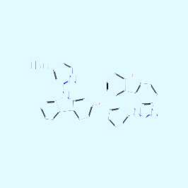 CC(C)(C)c1ccnc(-n2c3ccccc3c3ccc(Oc4cccc(-n5cnc6ccc7oc8ccccc8c7c65)c4)cc32)c1